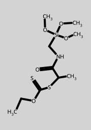 CCOC(=S)SC(C)C(=O)NC[Si](OC)(OC)OC